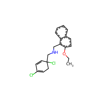 CCOc1ccc2ccccc2c1CNCC1(Cl)C=CC(Cl)=CC1